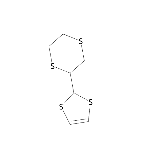 C1=CSC(C2CSCCS2)S1